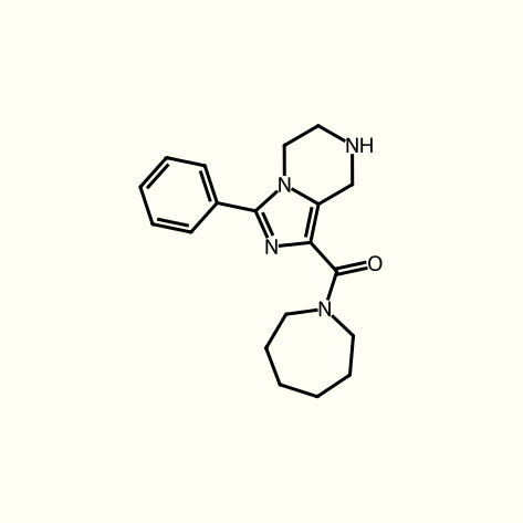 O=C(c1nc(-c2ccccc2)n2c1CNCC2)N1CCCCCC1